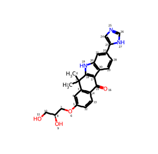 CC1(C)c2cc(OC[C@@H](O)CO)ccc2C(=O)c2c1[nH]c1cc(-c3cnc[nH]3)ccc21